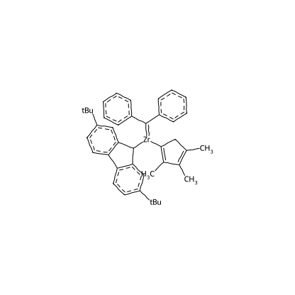 CC1=C(C)C(C)=[C]([Zr](=[C](c2ccccc2)c2ccccc2)[CH]2c3cc(C(C)(C)C)ccc3-c3ccc(C(C)(C)C)cc32)C1